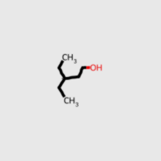 CC[C](CC)CCO